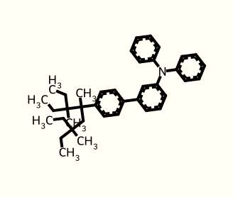 CCC(C)(CC)CC(C)(c1ccc(-c2cccc(N(c3ccccc3)c3ccccc3)c2)cc1)C(C)(CC)CC